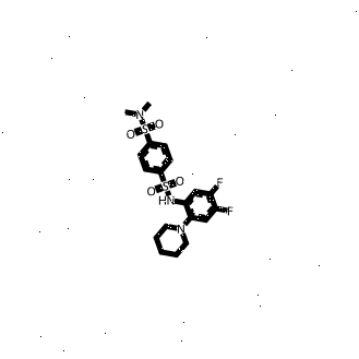 CN(C)S(=O)(=O)c1ccc(S(=O)(=O)Nc2cc(F)c(F)cc2N2CCCCC2)cc1